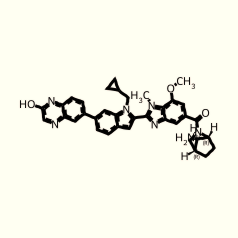 COc1cc(C(=O)N2C[C@H]3CC[C@@H]2[C@@H]3N)cc2nc(-c3cc4ccc(-c5ccc6nc(O)cnc6c5)cc4n3CC3CC3)n(C)c12